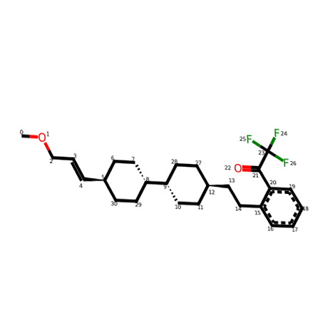 COCC=C[C@H]1CC[C@H]([C@H]2CC[C@H](CCc3ccccc3C(=O)C(F)(F)F)CC2)CC1